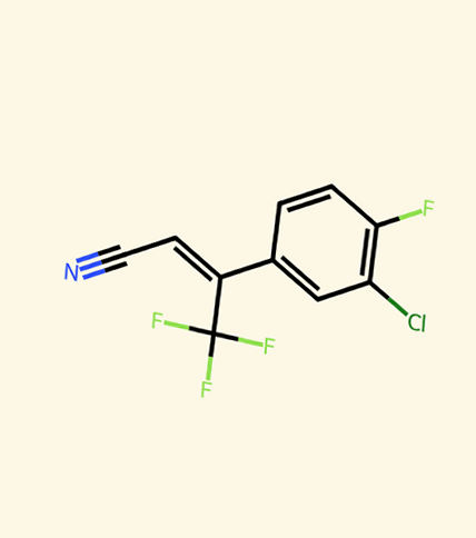 N#CC=C(c1ccc(F)c(Cl)c1)C(F)(F)F